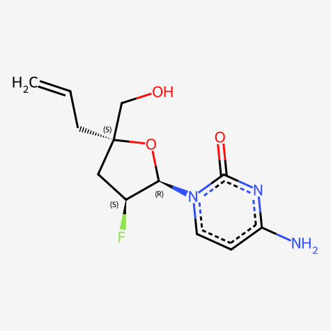 C=CC[C@@]1(CO)C[C@H](F)[C@H](n2ccc(N)nc2=O)O1